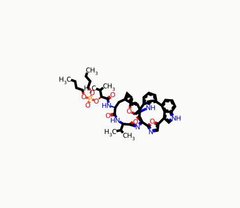 CCCCOP(=O)(OCCCC)O[C@H](C(=O)N[C@H]1Cc2ccc3c(c2)C24c5cccc(c5NC2O3)-c2cccc3[nH]cc(c23)-c2cnc(o2)-c2nc(oc24)C(C(C)C)NC1=O)C(C)C